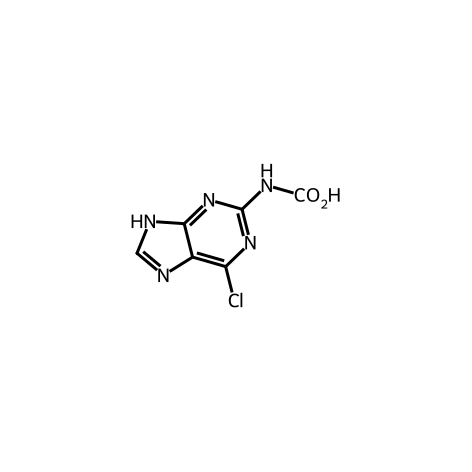 O=C(O)Nc1nc(Cl)c2nc[nH]c2n1